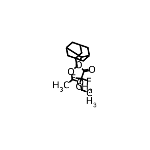 CCOC(C)OCC12CC3CC(C1)C(OC(=O)C(C)(F)F)C(C3)C2